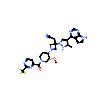 CO[C@@H]1CN(C(=O)c2ccnc(C(F)(F)F)n2)CC[C@@H]1N1CC(CC#N)(N2C=C(c3ncnc4[nH]ccc34)C(C)N2)C1